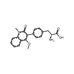 COc1c(-c2ccc(C[C@H](N)C(=O)O)cc2)c(=O)n(C)c2ccccc12